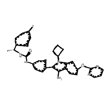 C[C@@H](NC(=O)Nc1ccc(-c2c(N)c3ccc(Oc4ncccn4)cc3n2C2CCC2)cc1)c1ccc(F)cc1